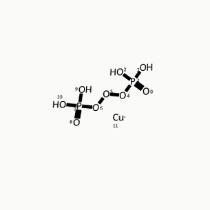 O=P(O)(O)OOOP(=O)(O)O.[Cu]